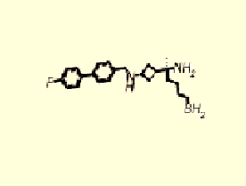 BCCCC[C@](C)(N)[C@H]1C[C@@H](NCc2ccc(-c3ccc(F)cc3)cc2)C1